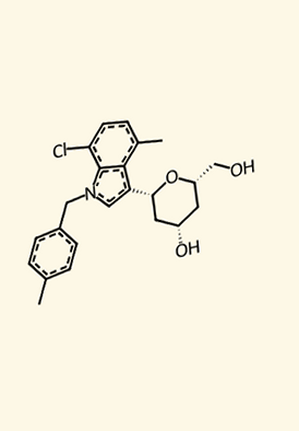 Cc1ccc(Cn2cc([C@H]3C[C@@H](O)C[C@@H](CO)O3)c3c(C)ccc(Cl)c32)cc1